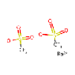 O=S(=O)([O-])C(F)(F)F.O=S(=O)([O-])C(F)(F)F.[Ra+2]